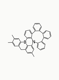 Cc1cc2c3c(c1)-n1c4ccccc4c4ccccc4c4ccccc4c4cccc(c41)B3c1cc(C)c(C)cc1C2